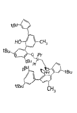 Cc1cc(-c2cc(C(C)(C)C)cc(C(C)(C)C)c2)c(O)c(-c2cc(C(C)(C)C)ccc2OC[Si](COc2c(-c3cc(C)cc(-c4cccc(C(C)(C)C)c4)c3O)cc(C(C)(C)C)cc2C(C)(C)C)(C(C)C)C(C)C)c1